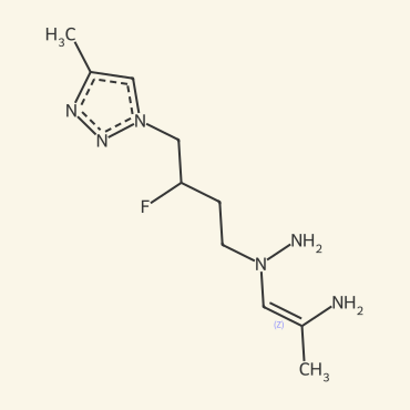 C/C(N)=C/N(N)CCC(F)Cn1cc(C)nn1